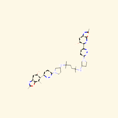 Cc1nc2cc(O)c(-c3ccc(N4CCC(NC(C)(C)CCC(C)(C)NC5CCN(c6ccc(-c7c(O)cc8nc(C)oc8c7C)nn6)C5)C4)nn3)nc2o1